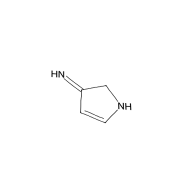 N=C1C=CNC1